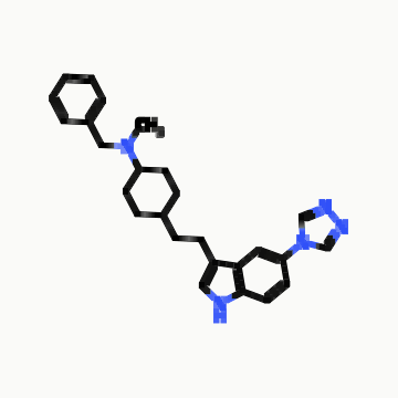 CN(Cc1ccccc1)C1CCC(CCc2c[nH]c3ccc(-n4cnnc4)cc23)CC1